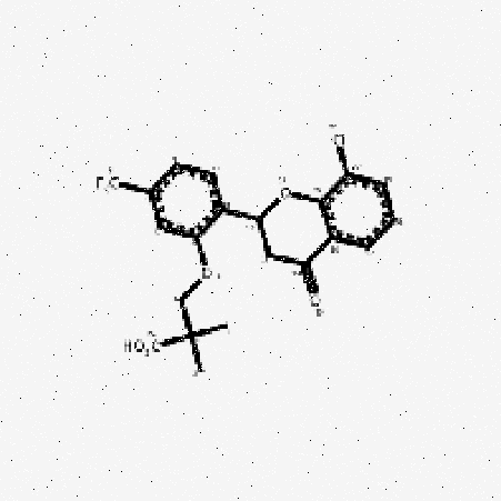 CC(C)(COc1cc(C(F)(F)F)ccc1C1CC(=O)c2cccc(Cl)c2O1)C(=O)O